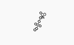 C1=CC2C3=Nc4cc(-c5ccc(-c6c7ccccc7c(-c7ccc8ccccc8c7)c7ccccc67)cc5)ccc4C3c3ccccc3C2C=C1